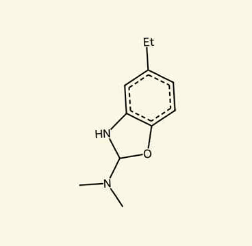 CCc1ccc2c(c1)NC(N(C)C)O2